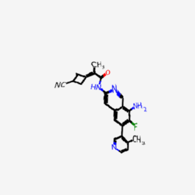 CC(C(=O)Nc1cc2cc(-c3cnccc3C)c(F)c(N)c2cn1)=C1CC(C#N)C1